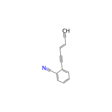 C#CC=CC#Cc1ccccc1C#N